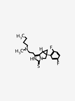 CCCCN(C)CCc1[nH]c(=S)n2c1[C@@H]1C[C@]1(c1cc(F)ccc1F)C2